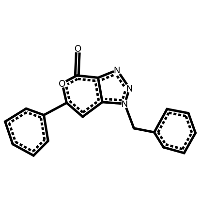 O=c1oc(-c2ccccc2)cc2c1nnn2Cc1ccccc1